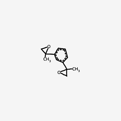 CC1(c2cccc(C3(C)CO3)c2)CO1